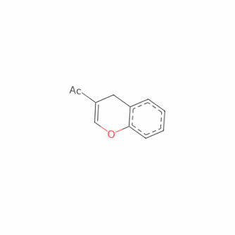 CC(=O)C1=COc2ccccc2C1